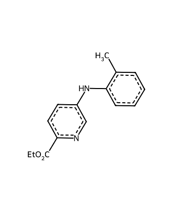 CCOC(=O)c1ccc(Nc2ccccc2C)cn1